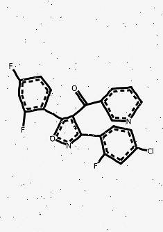 O=C(c1cccnc1)c1c(-c2ccc(Cl)cc2F)noc1-c1ccc(F)cc1F